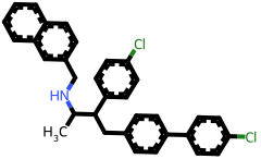 CC(NCc1ccc2ccccc2c1)C(Cc1ccc(-c2ccc(Cl)cc2)cc1)c1ccc(Cl)cc1